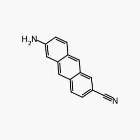 N#Cc1ccc2cc3cc(N)ccc3cc2c1